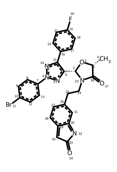 C[C@H]1O[C@@H](c2nn(-c3ccc(Br)cc3)nc2-c2ccc(F)cc2)N(CCc2ccc3c(c2)=NC(=O)C=3)C1=O